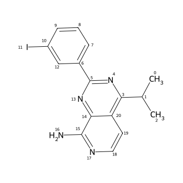 CC(C)c1nc(-c2cccc(I)c2)nc2c(N)nccc12